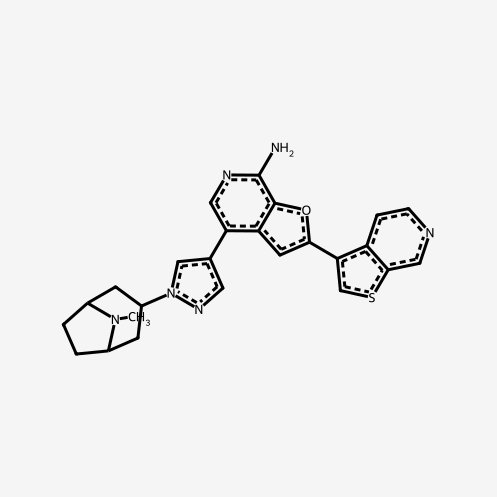 CN1C2CCC1CC(n1cc(-c3cnc(N)c4oc(-c5csc6cnccc56)cc34)cn1)C2